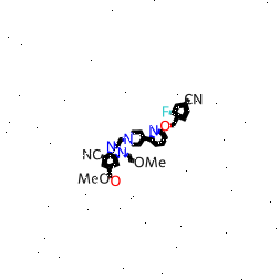 COCCn1c(CN2CCC(c3cccc(OCc4ccc(C#N)cc4F)n3)CC2)nc2c(C#N)cc(C(=O)OC)cc21